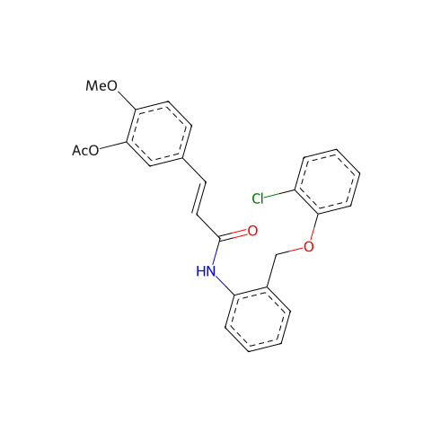 COc1ccc(C=CC(=O)Nc2ccccc2COc2ccccc2Cl)cc1OC(C)=O